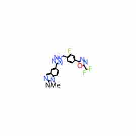 CNc1ncc2cc(-c3nnn(Cc4ccc(-c5nnc(C(F)F)o5)cc4F)n3)ccc2n1